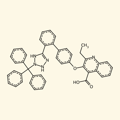 CCc1nc2ccccc2c(C(=O)O)c1Oc1ccc(-c2ccccc2C2=NNN(C(c3ccccc3)(c3ccccc3)c3ccccc3)N2)cc1